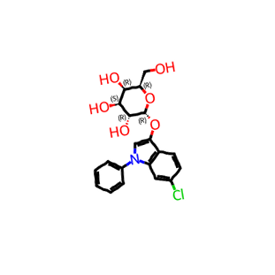 OC[C@H]1O[C@H](Oc2cn(-c3ccccc3)c3cc(Cl)ccc23)[C@H](O)[C@@H](O)[C@H]1O